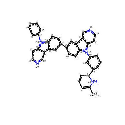 CC1=CC=CC(c2cccc(-n3c4ccncc4c4cc(-c5ccc6c(c5)c5cnccc5n6-c5ccccc5)ccc43)c2)N1